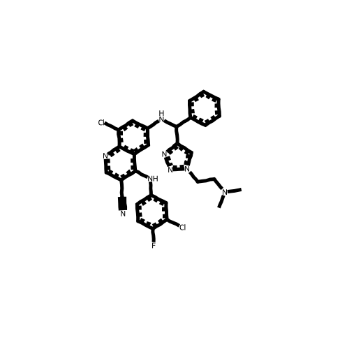 CN(C)CCn1cc(C(Nc2cc(Cl)c3ncc(C#N)c(Nc4ccc(F)c(Cl)c4)c3c2)c2ccccc2)nn1